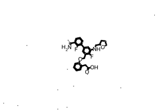 C[C@@H](N)c1cccc(-c2cc(COc3ccccc3CC(=O)O)c(F)c(NCC3CCCO3)c2)c1F